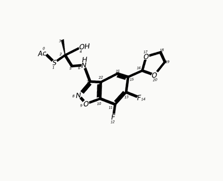 CC(=O)S[C@](C)(O)CNc1noc2c(F)c(F)c(C3OCCO3)cc12